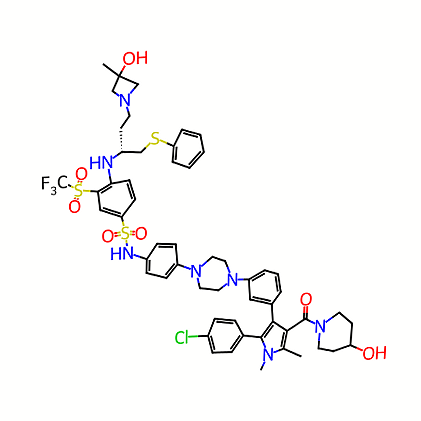 Cc1c(C(=O)N2CCC(O)CC2)c(-c2cccc(N3CCN(c4ccc(NS(=O)(=O)c5ccc(N[C@H](CCN6CC(C)(O)C6)CSc6ccccc6)c(S(=O)(=O)C(F)(F)F)c5)cc4)CC3)c2)c(-c2ccc(Cl)cc2)n1C